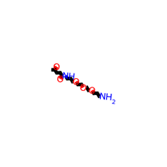 CC(=O)CCC(=O)NCCCOCCOCCOCCCN